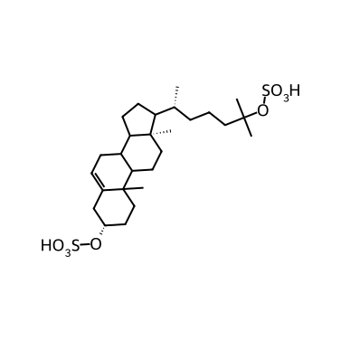 C[C@H](CCCC(C)(C)OS(=O)(=O)O)C1CCC2C3CC=C4C[C@@H](OS(=O)(=O)O)CCC4(C)C3CC[C@@]21C